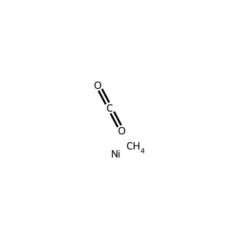 C.O=C=O.[Ni]